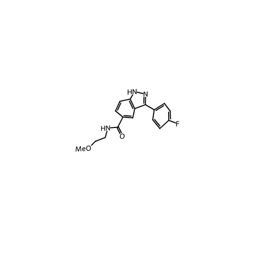 COCCNC(=O)c1ccc2[nH]nc(-c3ccc(F)cc3)c2c1